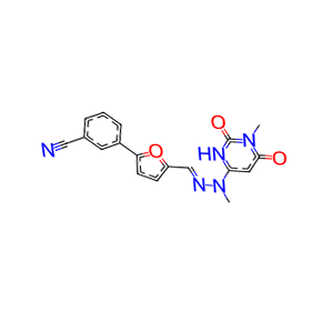 CN(/N=C/c1ccc(-c2cccc(C#N)c2)o1)c1cc(=O)n(C)c(=O)[nH]1